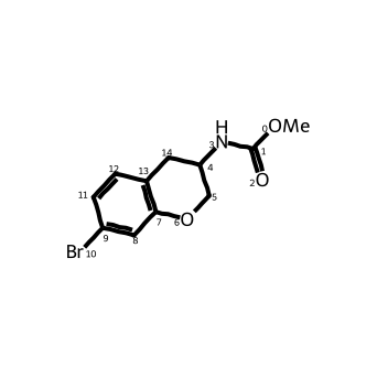 COC(=O)NC1COc2cc(Br)ccc2C1